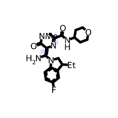 CCC1CN(/C(N)=C(\N=C(/C)C(=O)NC2CCOCC2)C(=O)NC)c2ccc(F)cc21